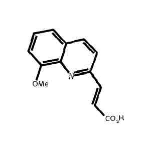 COc1cccc2ccc(C=CC(=O)O)nc12